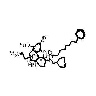 C=CCN1CC[C@]23c4c5c(O)cc(OCC)c4O[C@H]2[C@@H](N(CC2CCCCC2)C(=O)CCCCCCCc2ccccc2)CC[C@H]3[C@H]1C5